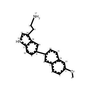 COc1ccc2cc(-c3ccc4[nH]cc(CCN)c4c3)ccc2c1